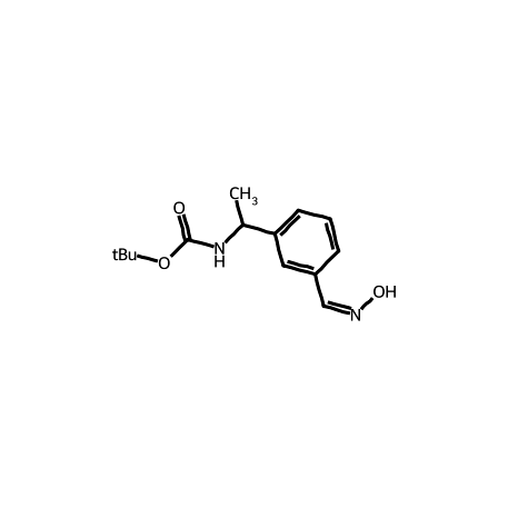 CC(NC(=O)OC(C)(C)C)c1cccc(/C=N\O)c1